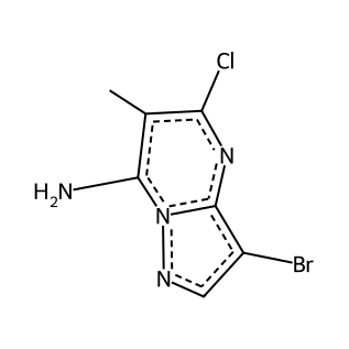 Cc1c(Cl)nc2c(Br)cnn2c1N